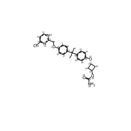 CC(C)(c1ccc(OCc2nccc(Cl)n2)cc1)c1ccc(O[C@H]2C[C@H](OC(N)=O)C2)cc1